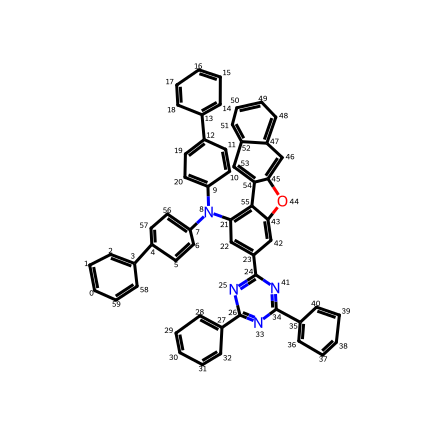 c1ccc(-c2ccc(N(c3ccc(-c4ccccc4)cc3)c3cc(-c4nc(-c5ccccc5)nc(-c5ccccc5)n4)cc4oc5cc6ccccc6cc5c34)cc2)cc1